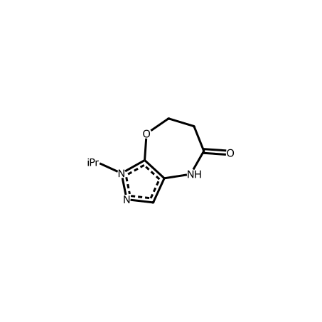 CC(C)n1ncc2c1OCCC(=O)N2